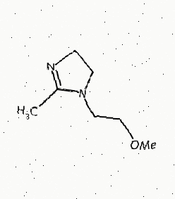 COCCN1CCN=C1C